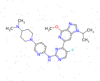 COc1nc(-c2nc(Nc3ccc(N4CCC(N(C)C)CC4)cn3)ncc2F)cc2c1ncn2C(C)C